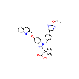 COc1ncc(-c2ccc(Cn3c(C4C(C(=O)O)C4(C)C)nc4cc(OCc5ccc6ccccc6n5)ccc43)cc2)cn1